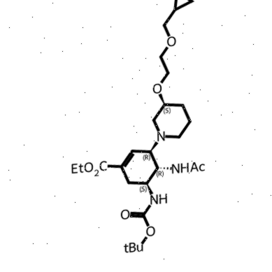 CCOC(=O)C1=C[C@@H](N2CCC[C@H](OCCOCC3CC3)C2)[C@H](NC(C)=O)[C@@H](NC(=O)OC(C)(C)C)C1